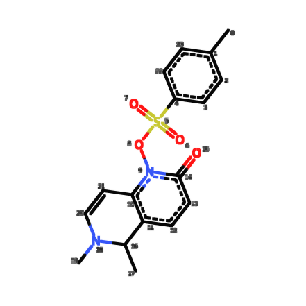 Cc1ccc(S(=O)(=O)On2c3c(ccc2=O)C(C)N(C)C=C3)cc1